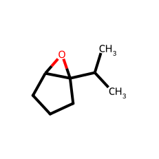 CC(C)C12CCCC1O2